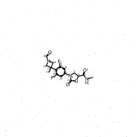 CNC(=O)C1CN(c2cc(F)c(C3(C)CN(C=O)C3)c(F)c2)C(=O)O1